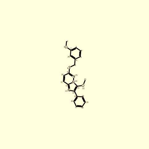 COc1cccc(CSc2ccc3nc(-c4ccccc4)c(OC)n3n2)c1